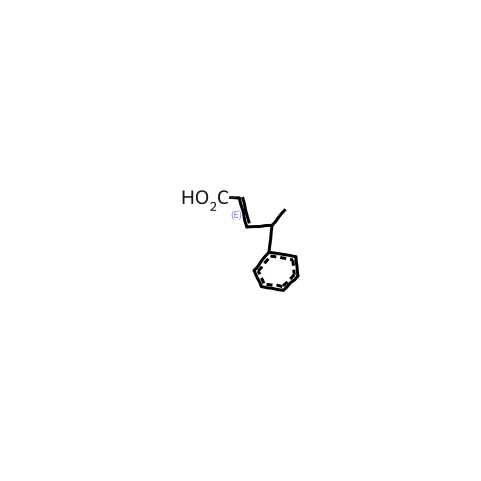 CC(/C=C/C(=O)O)c1ccccc1